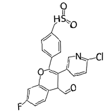 O=CC1C(c2ccc(Cl)nc2)=C(c2ccc(C[SH](=O)=O)cc2)Oc2cc(F)ccc21